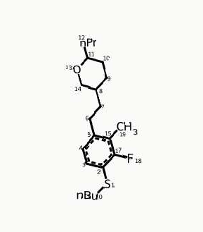 CCCCSc1ccc(CCC2CCC(CCC)OC2)c(C)c1F